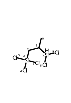 CC(C[Si](Cl)(Cl)Cl)[SiH](Cl)Cl